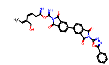 C/C=C(\C=C/CC(=N)OC(=N)N1C(=O)c2ccc(-c3ccc4c(c3)C(=O)N(c3nnc(-c5ccccc5)o3)C4=O)cc2C1=O)CO